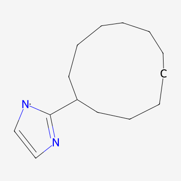 C1=CN=C(C2CCCCCCCCCC2)[N]1